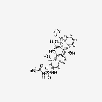 CCCCC(=O)NS(=O)(=O)Nc1cc(O)c2c(c1)SN=C(C1=C(O)c3ccccc3C(C)(CCC(C)C)C1=O)N2O